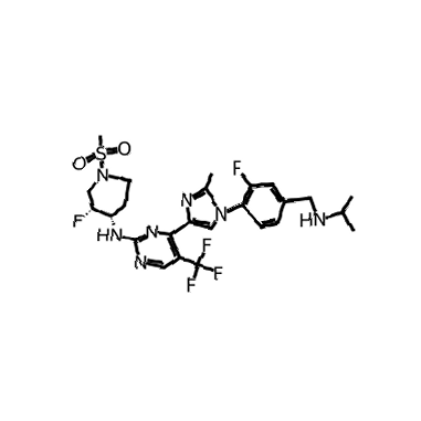 Cc1nc(-c2nc(N[C@H]3CCN(S(C)(=O)=O)C[C@H]3F)ncc2C(F)(F)F)cn1-c1ccc(CNC(C)C)cc1F